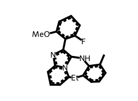 CCc1cccc2nc(-c3c(F)cccc3OC)c(Nc3c(C)cccc3C)n12